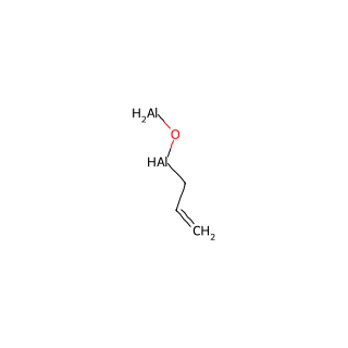 C=C[CH2][AlH][O][AlH2]